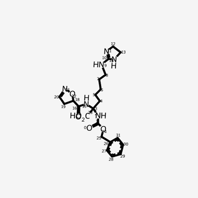 O=C(NC(CCCCCNC1=NCCN1)(NC(=O)C1CC=NO1)C(=O)O)OCc1ccccc1